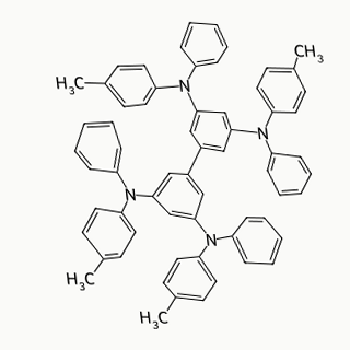 Cc1ccc(N(c2ccccc2)c2cc(-c3cc(N(c4ccccc4)c4ccc(C)cc4)cc(N(c4ccccc4)c4ccc(C)cc4)c3)cc(N(c3ccccc3)c3ccc(C)cc3)c2)cc1